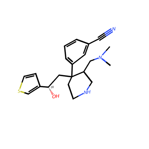 CN(C)CC1CNCCC1(C[C@H](O)c1ccsc1)c1cccc(C#N)c1